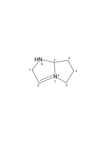 C1=[N+]2CCCC2NC1